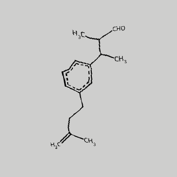 C=C(C)CCc1cccc(C(C)C(C)C=O)c1